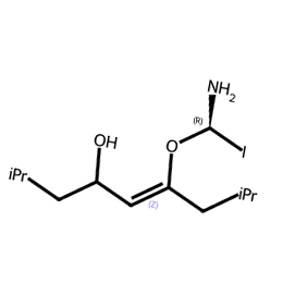 CC(C)C/C(=C/C(O)CC(C)C)O[C@@H](N)I